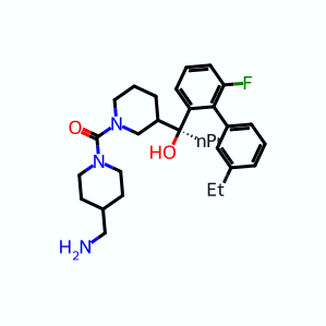 [CH2]CC[C@@](O)(c1cccc(F)c1-c1cccc(CC)c1)C1CCCN(C(=O)N2CCC(CN)CC2)C1